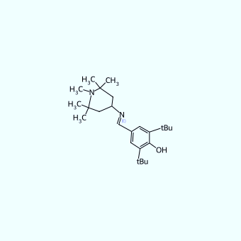 CN1C(C)(C)CC(/N=C/c2cc(C(C)(C)C)c(O)c(C(C)(C)C)c2)CC1(C)C